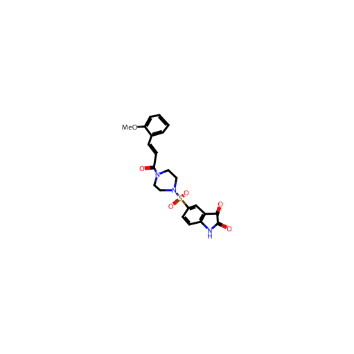 COc1ccccc1/C=C/C(=O)N1CCN(S(=O)(=O)c2ccc3c(c2)C(=O)C(=O)N3)CC1